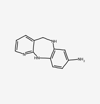 Nc1ccc2c(c1)NCc1cccnc1N2